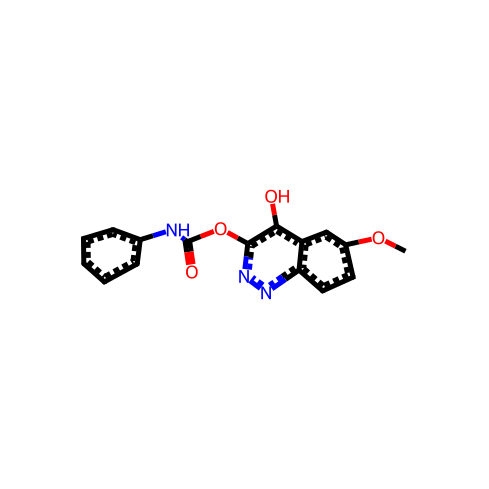 COc1ccc2nnc(OC(=O)Nc3ccccc3)c(O)c2c1